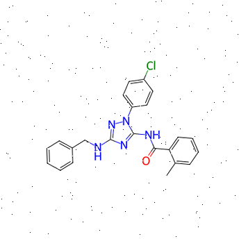 Cc1ccccc1C(=O)Nc1nc(NCc2ccccc2)nn1-c1ccc(Cl)cc1